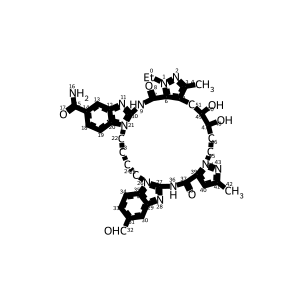 CCn1nc(C)c2c1C(=O)Nc1nc3cc(C(N)=O)ccc3n1CCCCn1c(nc3cc(C=O)ccc31)NC(=O)c1cc(C)nn1CCC(O)C(O)C2